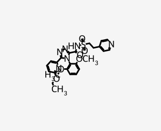 CCOc1cccc(-c2nnc(C(=O)NS(=O)(=O)CCc3ccncc3)n2-c2c(OC)cccc2OC)n1